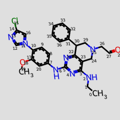 CCNc1nc(Nc2ccc(-n3cnc(Cl)c3)c(OC)c2)nc2c1CN(CC=O)CC2c1ccccc1